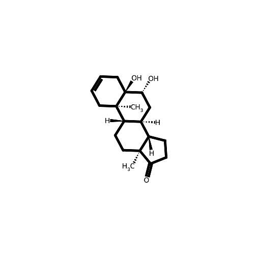 C[C@]12CC[C@H]3[C@@H](C[C@@H](O)[C@@]4(O)CC=CC[C@]34C)[C@@H]1CCC2=O